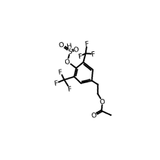 CC(=O)OCCc1cc(C(F)(F)F)c(O[SH](=O)=O)c(C(F)(F)F)c1